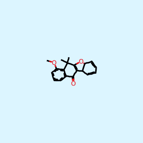 COc1cccc2c1C(C)(C)C1=C(C2=O)C2C=CC=CC2O1